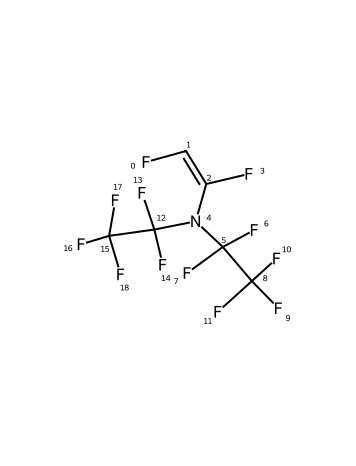 F/C=C(/F)N(C(F)(F)C(F)(F)F)C(F)(F)C(F)(F)F